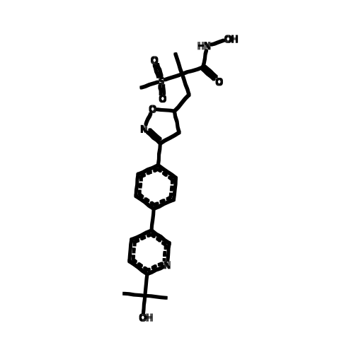 CC(C)(O)c1ccc(-c2ccc(C3=NOC(CC(C)(C(=O)NO)S(C)(=O)=O)C3)cc2)cn1